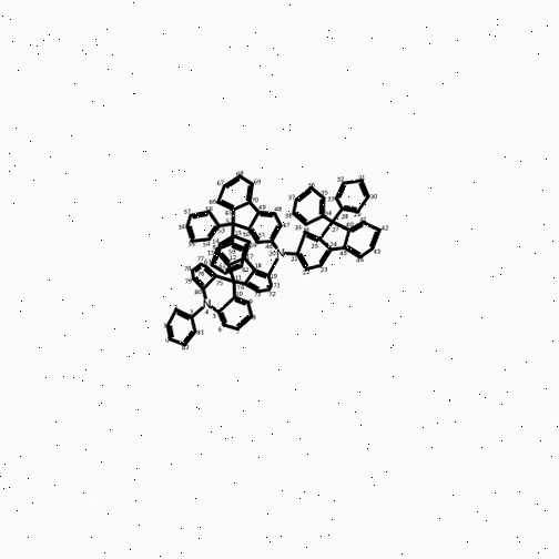 c1ccc(N2c3ccccc3C3(c4ccccc4-c4c(N(c5ccc6c(c5)C(c5ccccc5)(c5ccccc5)c5ccccc5-6)c5ccc6c(c5)C(c5ccccc5)(c5ccccc5)c5ccccc5-6)cccc43)c3ccccc32)cc1